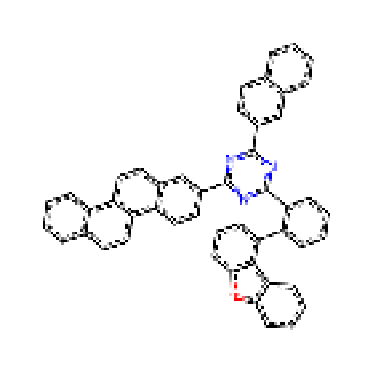 c1ccc(-c2cccc3oc4ccccc4c23)c(-c2nc(-c3ccc4ccccc4c3)nc(-c3ccc4c(ccc5c6ccccc6ccc45)c3)n2)c1